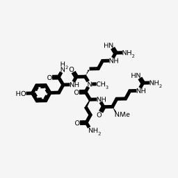 CN[C@@H](CCCNC(=N)N)C(=O)N[C@@H](CCC(N)=O)C(=O)N(C)[C@@H](CCCNC(=N)N)C(=O)NC(Cc1ccc(O)cc1)C(N)=O